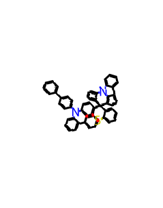 c1ccc(-c2ccc(N(c3ccc4c(c3)Sc3ccccc3C43c4ccccc4-n4c5ccccc5c5cccc3c54)c3ccccc3-c3ccccc3)cc2)cc1